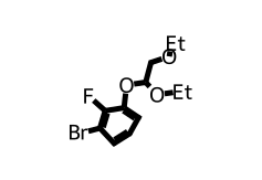 CCOCC(OCC)Oc1cccc(Br)c1F